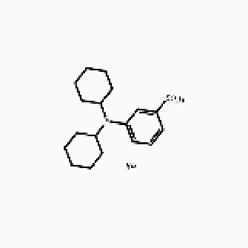 O=S(=O)(O)c1cccc(P(C2CCCCC2)C2CCCCC2)c1.[KH]